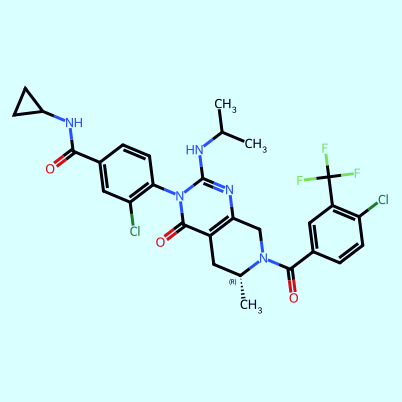 CC(C)Nc1nc2c(c(=O)n1-c1ccc(C(=O)NC3CC3)cc1Cl)C[C@@H](C)N(C(=O)c1ccc(Cl)c(C(F)(F)F)c1)C2